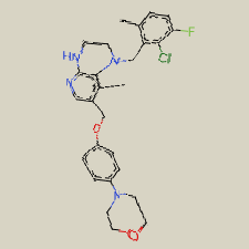 Cc1ccc(F)c(Cl)c1CN1CCNc2ncc(COc3ccc(N4CCOCC4)cc3)c(C)c21